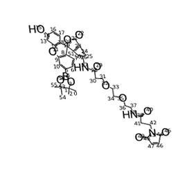 CC1(C)OB(c2ccc3c(c2)Oc2cc(O)ccc2C32OC(=O)c3ccc(NC(=O)CCOCCOCCNC(=O)CCN4C(=O)C=CC4=O)cc32)OC1(C)C